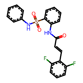 O=C(C=Cc1c(F)cccc1F)Nc1ccccc1S(=O)(=O)Nc1ccccc1